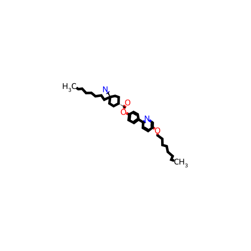 CCCCCCCCOc1ccc(-c2ccc(OC(=O)[C@H]3CC[C@@](C#N)(CCCCCCCC)CC3)cc2)nc1